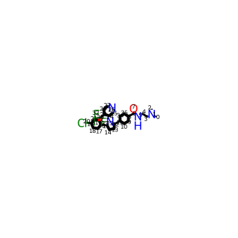 CN(C)CCNC(=O)c1ccc(-c2ccc(-c3ccc(Cl)cc3)n2-c2cnccc2C(F)(F)F)cc1